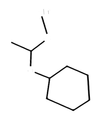 CCCOC(C)OC1CCCCC1